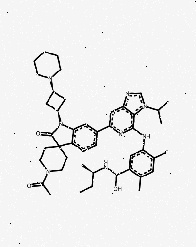 CC[C@@H](C)NC(O)c1cc(Nc2nc(-c3ccc4c(c3)N([C@H]3C[C@@H](N5CCCCC5)C3)C(=O)C43CCN(C(C)=O)CC3)cc3ncn(C(C)C)c23)c(F)cc1C